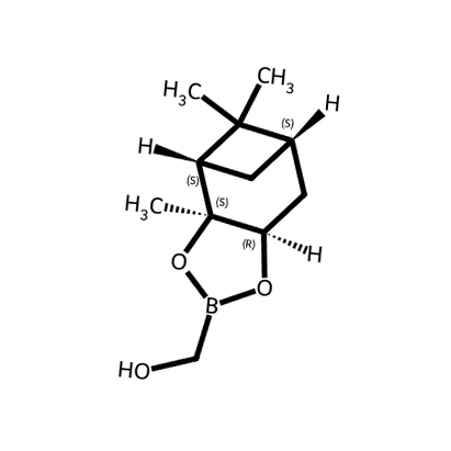 CC1(C)[C@@H]2C[C@H]3OB(CO)O[C@@]3(C)[C@H]1C2